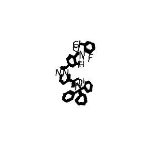 O=C(Nc1c(F)cccc1Cl)c1ccc(-c2cnc3ccc(-c4cnn(C(c5ccccc5)(c5ccccc5)c5ccccc5)c4)cn23)cc1F